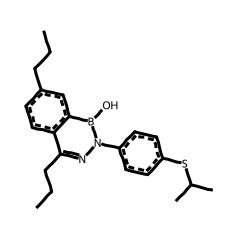 CCCC1=NN(c2ccc(SC(C)C)cc2)B(O)c2cc(CCC)ccc21